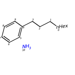 CCCCCCCCCc1ccccc1.N